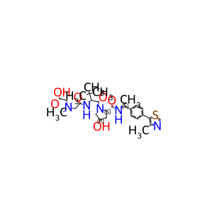 Cc1ncsc1-c1ccc([C@H](C)NC(=O)[C@@H]2C[C@@H](O)CN2C(=O)C(NC(=O)CN(C)CC(=O)O)C(C)(C)C)cc1